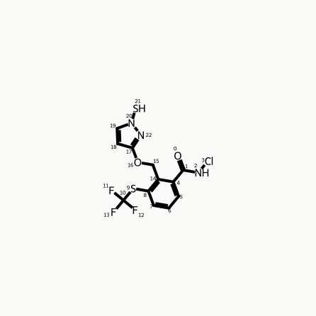 O=C(NCl)c1cccc(SC(F)(F)F)c1COc1ccn(S)n1